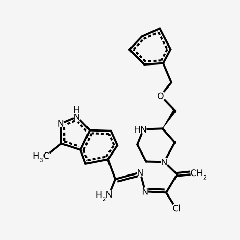 C=C(/C(Cl)=N\N=C(/N)c1ccc2[nH]nc(C)c2c1)N1CCN[C@@H](COCc2ccccc2)C1